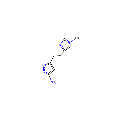 Cn1cnc(CCc2cc(N)n[nH]2)c1